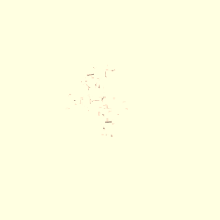 C=CCC(NC(=O)[C@@H]1C2C(CN1C(=O)[C@@H](NC(=O)OC(C)(C)C)C1CCCCC1)C2(C)C)C(=O)C(=O)O